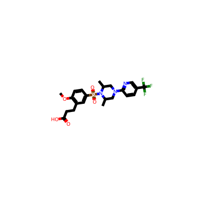 COc1ccc(S(=O)(=O)N2C(C)CN(c3ccc(C(F)(F)F)cn3)CC2C)cc1CCC(=O)O